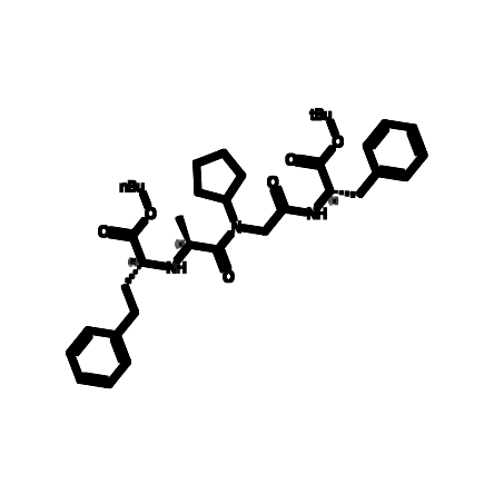 CCCCOC(=O)[C@@H](CCc1ccccc1)N[C@@H](C)C(=O)N(CC(=O)N[C@@H](Cc1ccccc1)C(=O)OC(C)(C)C)C1CCCC1